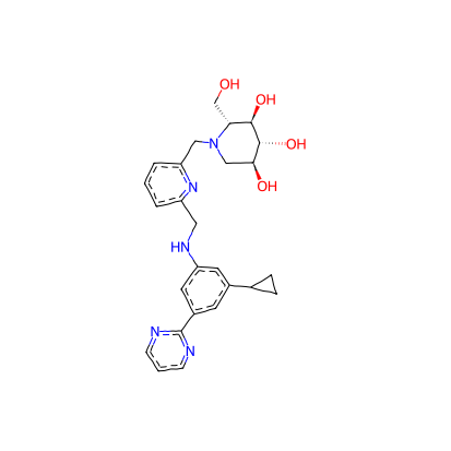 OC[C@@H]1[C@@H](O)[C@H](O)[C@@H](O)CN1Cc1cccc(CNc2cc(-c3ncccn3)cc(C3CC3)c2)n1